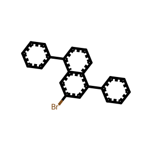 Brc1cc(-c2ccccc2)c2cccc(-c3ccccc3)c2c1